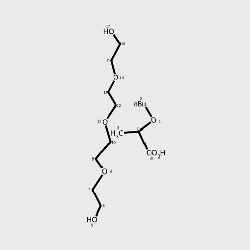 CCCCOC(C)C(=O)O.OCCOCCOCCOCCO